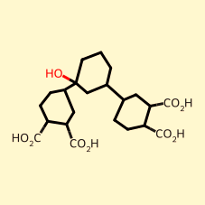 O=C(O)C1CCC(C2CCCC(O)(C3CCC(C(=O)O)C(C(=O)O)C3)C2)CC1C(=O)O